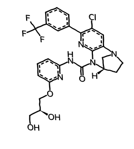 O=C(Nc1cccc(OC[C@@H](O)CO)n1)N1c2nc(-c3cccc(C(F)(F)F)c3)c(Cl)cc2N2CC[C@H]1C2